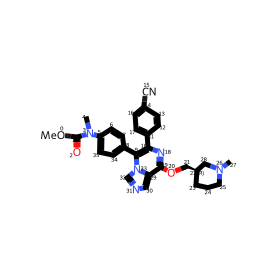 COC(=O)N(C)c1ccc(-c2c(-c3ccc(C#N)cc3)nc(OC[C@@H]3CCCN(C)C3)c3cncn23)cc1